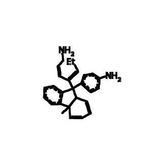 CC/C=C(\C=C/CN)C1(c2ccc(N)cc2)c2ccccc2C2(C)C=CC=CC21